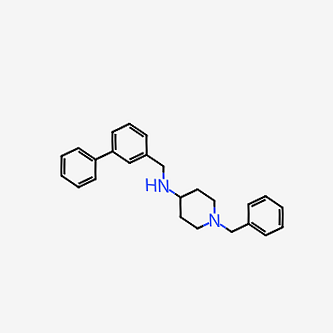 c1ccc(CN2CCC(NCc3cccc(-c4ccccc4)c3)CC2)cc1